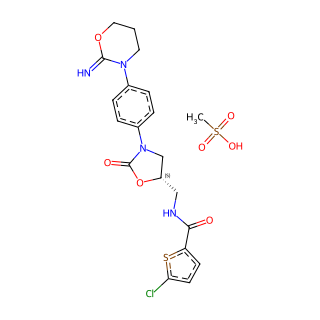 CS(=O)(=O)O.N=C1OCCCN1c1ccc(N2C[C@H](CNC(=O)c3ccc(Cl)s3)OC2=O)cc1